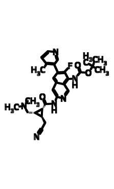 Cc1ccncc1-c1cc2cc(NC(=O)[C@@H]3[C@@H](CC#N)[C@@H]3CN(C)C)ncc2c(NC(=O)OC(C)(C)C)c1F